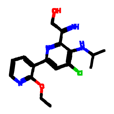 CCOc1ncccc1-c1cc(Cl)c(NC(C)C)c(C(=N)CO)n1